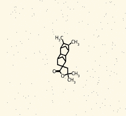 CC1C(C)C2CC1C1C3CC(C21)C1(C3)CC(C)(C)OC1=O